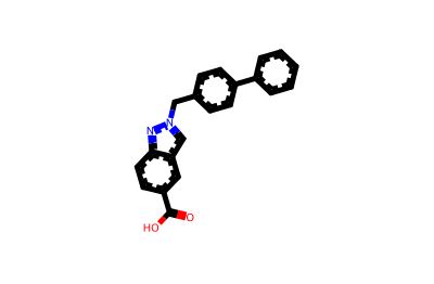 O=C(O)c1ccc2nn(Cc3ccc(-c4ccccc4)cc3)cc2c1